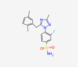 Cc1ccc(C)c(Cc2nc(C)nn2-c2ccc(S(N)(=O)=O)cc2F)c1